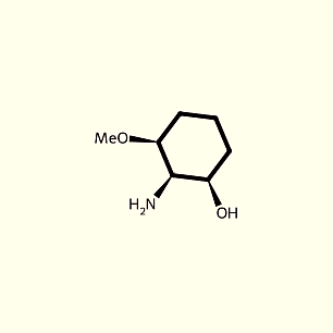 CO[C@H]1CCC[C@@H](O)[C@H]1N